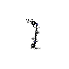 COc1cc(/C=C\C(=O)NCCCNCCCCNC(=O)/C=C/c2ccc(O)c(OC)c2)ccc1O